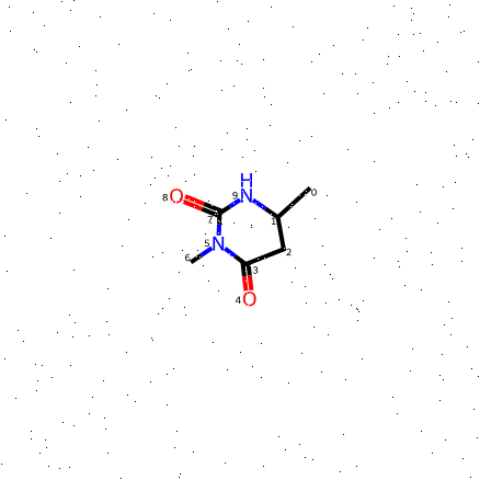 CC1CC(=O)N(C)C(=O)N1